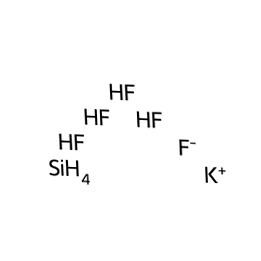 F.F.F.F.[F-].[K+].[SiH4]